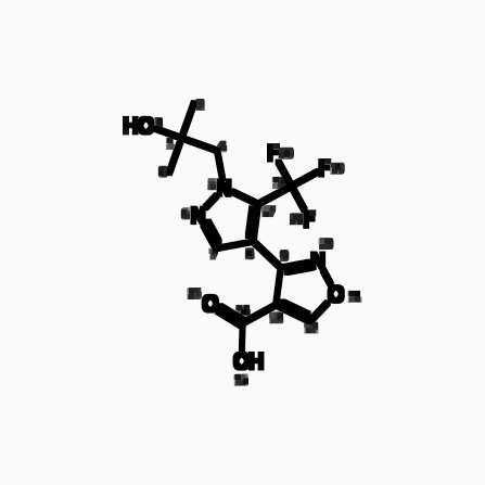 CC(C)(O)Cn1ncc(-c2nocc2C(=O)O)c1C(F)(F)F